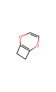 C1=COC2=C(CC2)O1